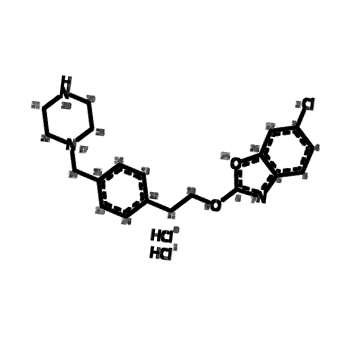 Cl.Cl.Clc1ccc2nc(OCCc3ccc(CN4CCNCC4)cc3)oc2c1